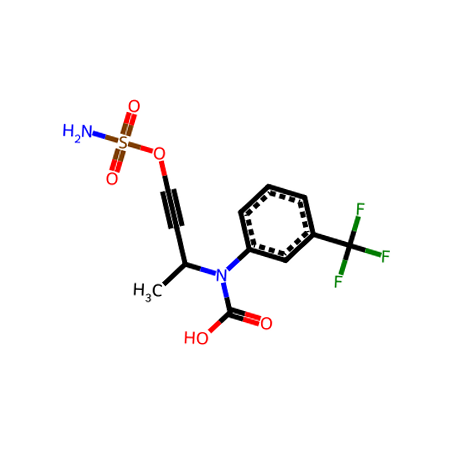 CC(C#COS(N)(=O)=O)N(C(=O)O)c1cccc(C(F)(F)F)c1